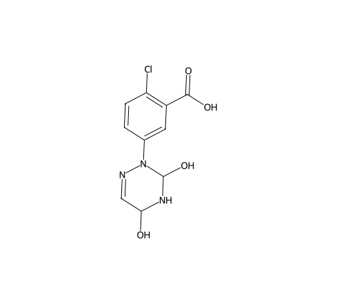 O=C(O)c1cc(N2N=CC(O)NC2O)ccc1Cl